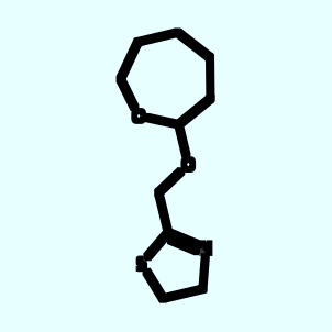 C1CCOC(OCC2=NCCS2)CC1